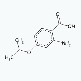 CC(C)Oc1ccc(C(=O)O)c(N)c1